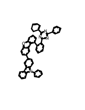 C1=CCCC(c2nc(-c3ccccc3)nc(-c3ccccc3-c3cccc4oc5ccc(-c6ccc7c(c6)c6ccccc6n7-c6ccccc6)cc5c34)n2)=C1